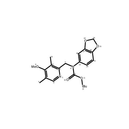 COc1c(C)cnc(CN(C(=O)OC(C)(C)C)c2ccc3c(c2)OCO3)c1C